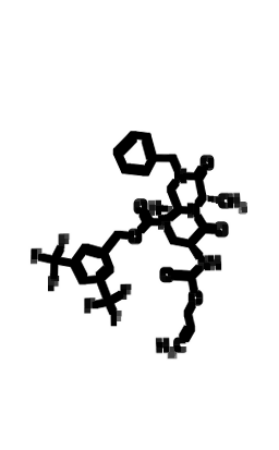 C=CCOC(=O)N[C@H]1CN(C(=O)OCc2cc(C(F)(F)F)cc(C(F)(F)F)c2)[C@H]2CN(Cc3ccccc3)C(=O)[C@H](C)N2C1=O